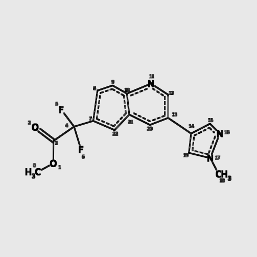 COC(=O)C(F)(F)c1ccc2ncc(-c3cnn(C)c3)cc2c1